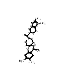 Cc1cc2c(cc1C)C(=O)CC1(CCN(C(=O)c3ccc4c(c3)nc(C)n4C)CC1)O2